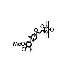 COc1cc(N2CCN(C(=O)CC[C@@]3(C)NC(=O)NC3=O)C[C@@H]2C)cc(F)c1Cl